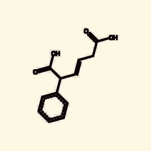 O=C(O)C/C=C/C(C(=O)O)c1ccccc1